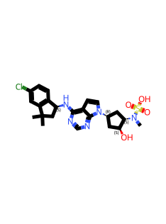 CN([C@H]1C[C@@H](n2ccc3c(N[C@H]4CC(C)(C)c5cc(Cl)ccc54)ncnc32)C[C@@H]1O)S(=O)(=O)O